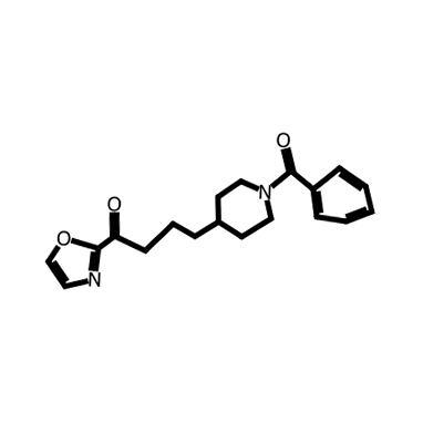 O=C(CCCC1CCN(C(=O)c2ccccc2)CC1)c1ncco1